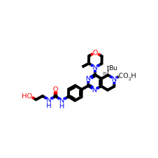 CC1COCCN1c1nc(-c2ccc(NC(=O)NCCO)cc2)nc2c1[C@H](C(C)(C)C)N(C(=O)O)CC2